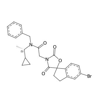 C[C@@H](C1CC1)N(Cc1ccccc1)C(=O)CN1C(=O)OC2(CCc3cc(Br)ccc32)C1=O